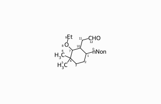 CCCCCCCCCC1CCC(C)(C)C(OCC)C1CC=O